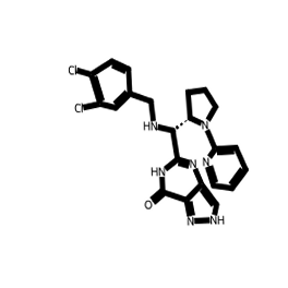 O=c1[nH]c(C(NCc2ccc(Cl)c(Cl)c2)[C@@H]2CCCN2c2ccccn2)nc2c[nH]nc12